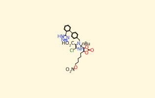 CCCCC1(c2oc(=O)oc2CCCCCO[N+](=O)[O-])NC(Cl)=C(C(=O)O)N1Cc1ccc(-c2ccccc2-c2nnn[nH]2)cc1